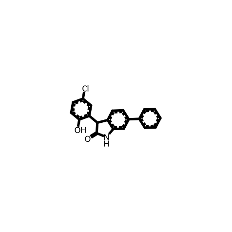 O=C1Nc2cc(-c3ccccc3)ccc2C1c1cc(Cl)ccc1O